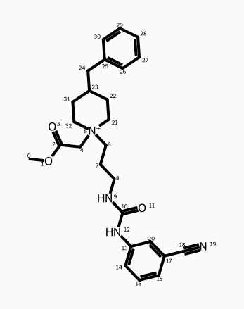 COC(=O)C[N+]1(CCCNC(=O)Nc2cccc(C#N)c2)CCC(Cc2ccccc2)CC1